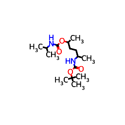 CC(C)NC(=O)OC(C)CCC(C)NC(=O)OC(C)(C)C